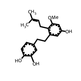 COc1cc(O)cc(CCc2ccc(O)c(O)c2)c1CC=C(C)C